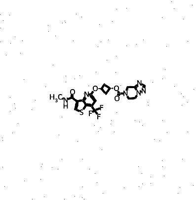 CNC(=O)c1csc2c(C(F)(F)F)cc(O[C@H]3C[C@@H](OC(=O)N4CCn5ncnc5C4)C3)nc12